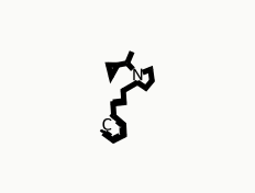 CC(C1CC1)N1CCCC1C/C=C/c1ccccc1